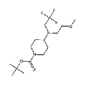 COCCN(CC(F)(F)F)C1CCN(C(=O)OC(C)(C)C)CC1